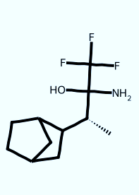 C[C@H](C1CC2CCC1C2)C(N)(O)C(F)(F)F